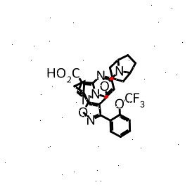 O=C(O)c1cnn2ccc(N3C4CCC3CC(OCc3c(-c5ccccc5OC(F)(F)F)noc3C3CC3)C4)nc12